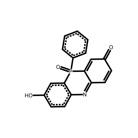 O=C1C=CC2=Nc3ccc(O)cc3P(=O)(c3ccccc3)C2=C1